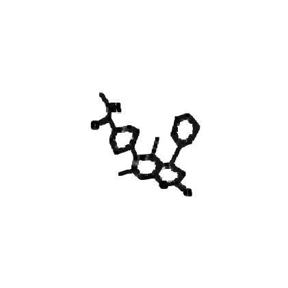 CNC(=O)c1ccc(-c2c(C)cc3oc(=O)cc(-c4ccccc4)c3c2C)cc1